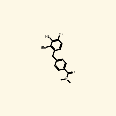 CN(C)C(=O)c1ccc(Cc2ccc(C(C)(C)C)c(S)c2C(C)(C)C)cc1